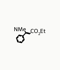 CCOC(=O)/C=C(\NC)c1ccccc1